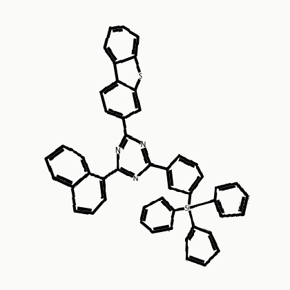 c1ccc([Si](c2ccccc2)(c2ccccc2)c2cccc(-c3nc(-c4ccc5c(c4)sc4ccccc45)nc(-c4cccc5ccccc45)n3)c2)cc1